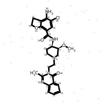 CO[C@H]1CN(CCn2c(C)nc3ccccc3c2=O)CC[C@H]1NC(=O)c1cc(Cl)c(N)c2c1OCC2